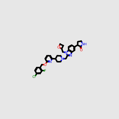 O=C1NCCC1c1ccc2c(c1)nc(CN1CCC(c3cccc(OCc4ccc(Cl)cc4F)n3)CC1)n2CC1CCO1